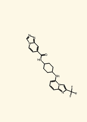 O=C(NC1CCC(Nc2cccc3nc(C(F)(F)F)cn23)CC1)c1ccn2cnnc2c1